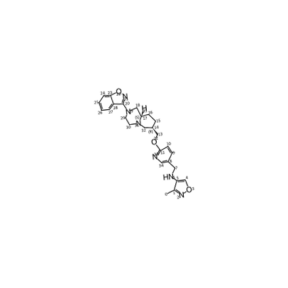 Cc1nocc1NCc1ccc(OC[C@@H]2CC[C@H]3CN(c4noc5ccccc45)CCN3C2)nc1